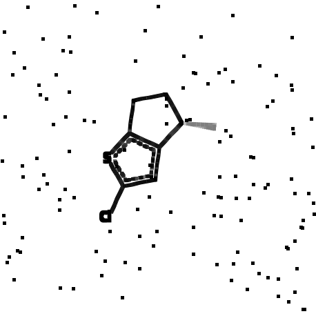 C[C@H]1CCc2sc(Cl)cc21